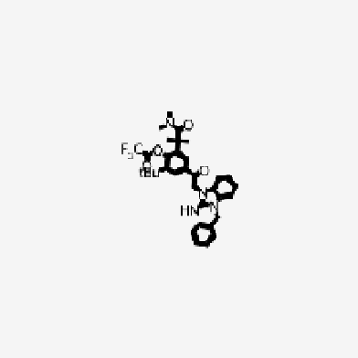 CN(C)C(=O)C(C)(C)c1cc(C(=O)Cn2c(=N)n(Cc3ccccc3)c3ccccc32)cc(C(C)(C)C)c1OC(=O)C(F)(F)F